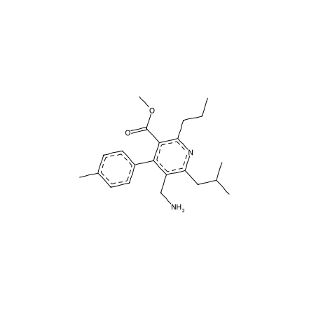 CCCc1nc(CC(C)C)c(CN)c(-c2ccc(C)cc2)c1C(=O)OC